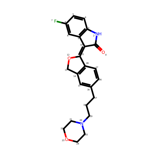 O=C1Nc2ccc(F)cc2C1=C1OCc2cc(CCCN3CCOCC3)ccc21